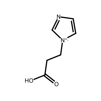 O=C(O)CC[N+]1C=CN=C1